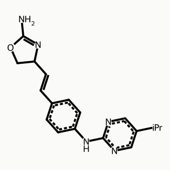 CC(C)c1cnc(Nc2ccc(C=CC3COC(N)=N3)cc2)nc1